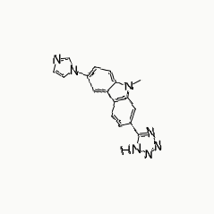 Cn1c2ccc(-n3ccnc3)cc2c2ccc(-c3nnn[nH]3)cc21